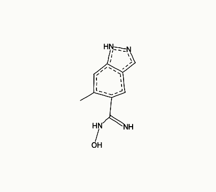 Cc1cc2[nH]ncc2cc1C(=N)NO